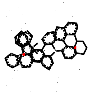 CC1(C)c2ccccc2-c2cccc(-c3cccc(N(c4ccccc4-c4cccc5cccc(C6CCCCC6)c45)c4ccccc4-c4cccc5c4c4ccccc4n5-c4ccccc4)c3)c21